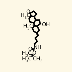 CC(C)(C)OC(=O)NCCC/C=C1\CC[C@]2(C)C3CC[C@]4(C)C(=O)CCC4C3C[C@H](O)C2C1